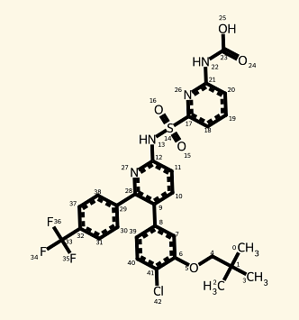 CC(C)(C)COc1cc(-c2ccc(NS(=O)(=O)c3cccc(NC(=O)O)n3)nc2-c2ccc(C(F)(F)F)cc2)ccc1Cl